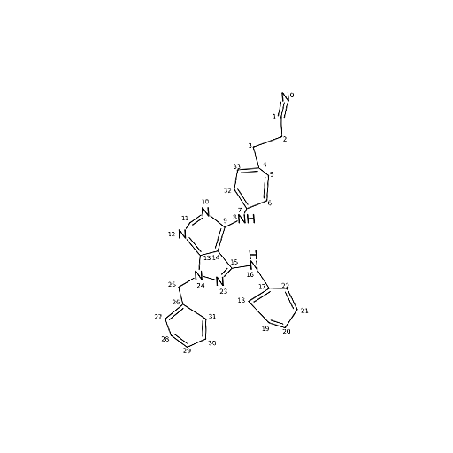 N#CCCc1ccc(Nc2ncnc3c2c(Nc2ccccc2)nn3Cc2ccccc2)cc1